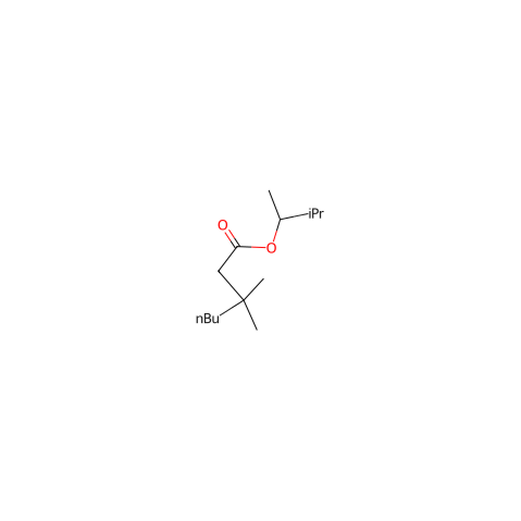 CCCCC(C)(C)CC(=O)OC(C)C(C)C